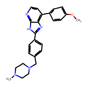 COc1ccc(-c2ccnc3[nH]c(-c4ccc(CN5CCN(C)CC5)cc4)nc23)cc1